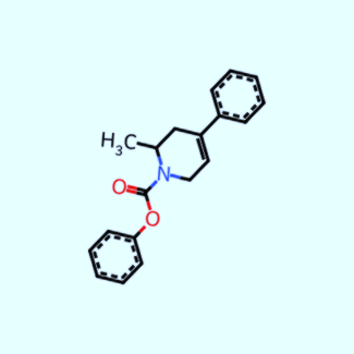 CC1CC(c2ccccc2)=CCN1C(=O)Oc1ccccc1